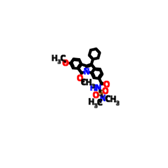 COc1ccc2c(c1)C(OC)n1c-2c(C2CCCCC2)c2ccc(C(=O)NS(=O)(=O)N(C)C)cc21